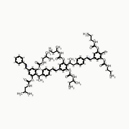 CC(N)CNC(=O)Oc1cc(/C=C/c2ccccc2)cc(OC(=O)NCC(C)N)c1C(C)c1ccc(/C=C/c2cc(OC(=O)NC(C)CN)c(C(C)Cc3ccc(/C=C/c4cc(OC(=O)NCCN)c(C(C)C)c(OC(=O)NCCN)c4)cc3)c(OC(=O)NC(C)CN)c2)cc1